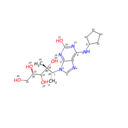 C[C@@H](n1cnc2c(NC3CCCC3)nc(O)nc21)[C@@](C)(O)C(O)[C@H](O)CO